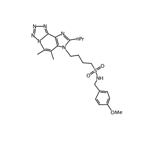 CCCc1nc2c(c(C)c(C)n3nnnc23)n1CCCCS(=O)(=O)NCc1ccc(OC)cc1